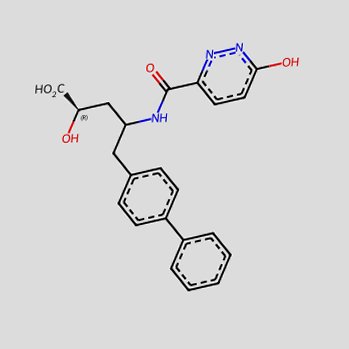 O=C(NC(Cc1ccc(-c2ccccc2)cc1)C[C@@H](O)C(=O)O)c1ccc(O)nn1